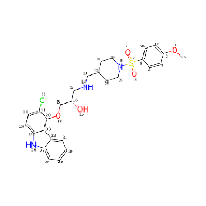 COc1ccc(S(=O)(=O)N2CCC(CNC[C@H](O)COc3c(Cl)ccc4[nH]c5ccccc5c34)CC2)cc1